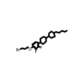 CCCCCC1CCC(C2CCC(c3ccc(OCCCBr)c(F)c3F)CC2)CC1